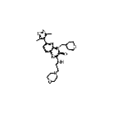 Cc1noc(C)c1-c1ccc2nc(NCCN3CCOCC3)c(=O)n(CC3CCOCC3)c2n1